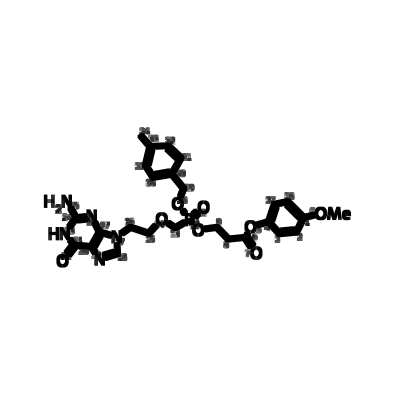 COc1ccc(OC(=O)CCOP(=O)(COCCn2cnc3c(=O)[nH]c(N)nc32)OCc2ccc(C)cc2)cc1